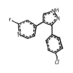 Fc1cc(-c2c[nH]nc2-c2ccc(Cl)cc2)ccn1